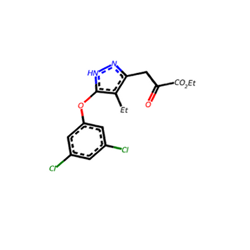 CCOC(=O)C(=O)Cc1n[nH]c(Oc2cc(Cl)cc(Cl)c2)c1CC